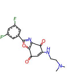 CN(C)CCNC1=CC(=O)c2oc(-c3cc(F)cc(F)c3)nc2C1=O